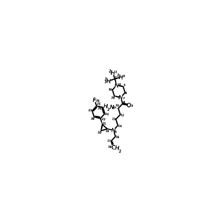 [2H]C([2H])([2H])N1CCN(C(=O)[C@@H](N)CCCN(CC=C)C2C[C@H]2c2ccc(F)cc2)CC1